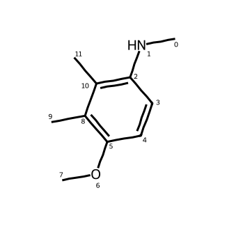 CNc1ccc(OC)c(C)c1C